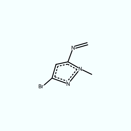 C=Nc1cc(Br)nn1C